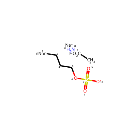 CC(=O)O.CCCCCCCCCCCCOS(=O)(=O)[O-].N.[Na+]